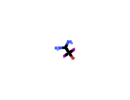 N[CH](N)[Sn]([Br])([I])[I]